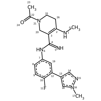 CNC1=C(C(=N)Nc2ccc(F)c(-c3cnn(C)c3)c2)CN(C(C)=O)CC1